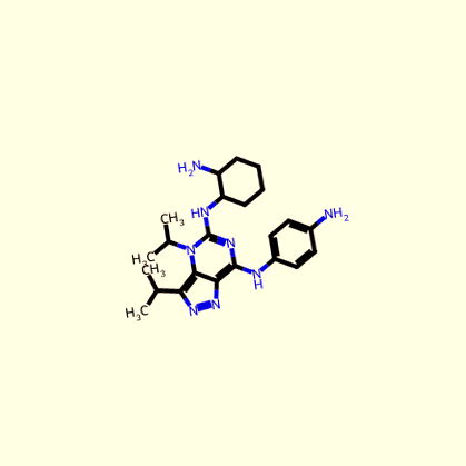 CC(C)c1nnc2c(Nc3ccc(N)cc3)nc(NC3CCCCC3N)n(C(C)C)c1-2